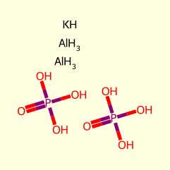 O=P(O)(O)O.O=P(O)(O)O.[AlH3].[AlH3].[KH]